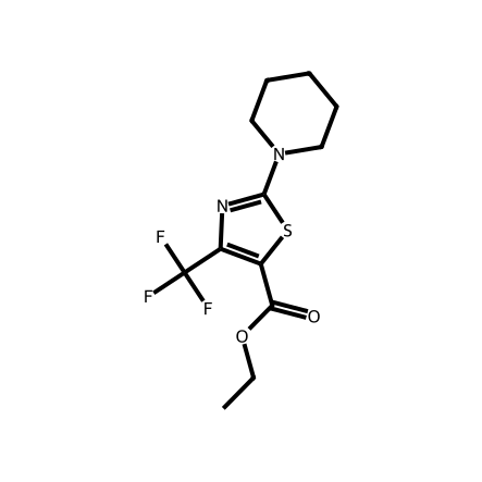 CCOC(=O)c1sc(N2CCCCC2)nc1C(F)(F)F